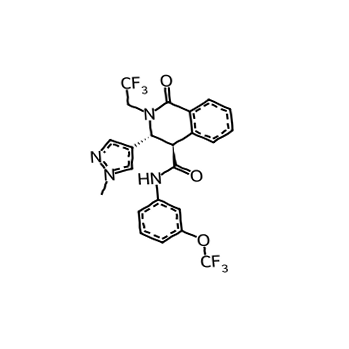 Cn1cc([C@H]2[C@H](C(=O)Nc3cccc(OC(F)(F)F)c3)c3ccccc3C(=O)N2CC(F)(F)F)cn1